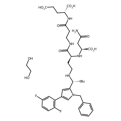 CC(C)(C)[C@@H](NCC[C@H](N[C@@H](CC(N)=O)C(=O)O)C(=O)NCCC(=O)N[C@H](CCC(=O)O)C(=O)O)c1cc(-c2cc(F)ccc2F)cn1Cc1ccccc1.OCCO